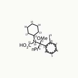 CCC[C@@](OC)(c1ccccc1I)N(C(=O)O)C1CCCCC1